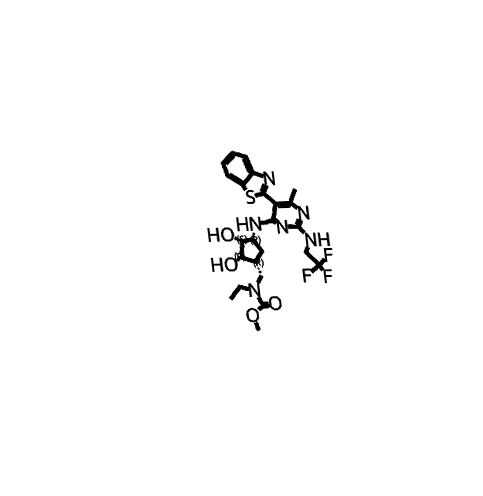 CCN(C[C@H]1C[C@@H](Nc2nc(NCC(F)(F)F)nc(C)c2-c2nc3ccccc3s2)[C@H](O)[C@@H]1O)C(=O)OC